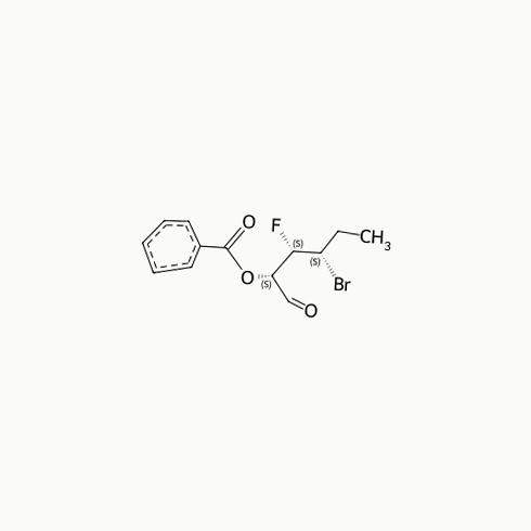 CC[C@H](Br)[C@@H](F)[C@H](C=O)OC(=O)c1ccccc1